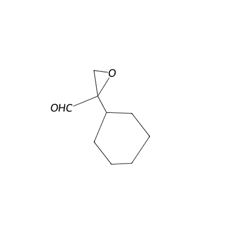 O=CC1(C2CCCCC2)CO1